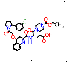 CCOC(=O)N1CCN(C(=O)[C@H](CCC(=O)O)NC(=O)c2cc(OCC(=O)N3CCCC3c3cccc(Cl)c3)c3ccccc3n2)CC1